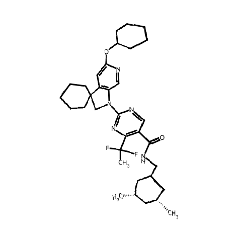 C[C@@H]1CC(CNC(=O)c2cnc(N3CC4(CCCCC4)c4cc(OC5CCCCC5)ncc43)nc2C(C)(F)F)C[C@H](C)C1